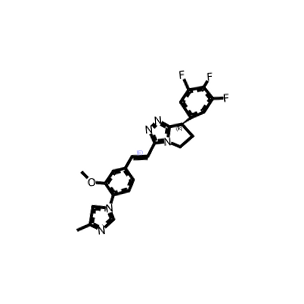 COc1cc(/C=C/c2nnc3n2CC[C@@H]3c2cc(F)c(F)c(F)c2)ccc1-n1cnc(C)c1